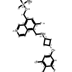 Cc1c(F)cc(O[C@H]2C[C@H](NCc3c(F)cc(CO[Si](C)(C)C(C)(C)C)c4cnccc34)C2)cc1F